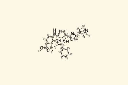 COB1OC(C)(C)c2cc(Nc3cc(N[C@H](CO)c4ccccc4)c(-c4nc(C56CCN(CC5)CC6)no4)cn3)ccc21